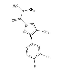 Cc1cc(C(=O)N(C)C)nn1-c1ccc(F)c(Cl)c1